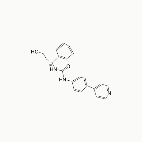 O=C(Nc1ccc(-c2ccncc2)cc1)N[C@H](CCO)c1ccccc1